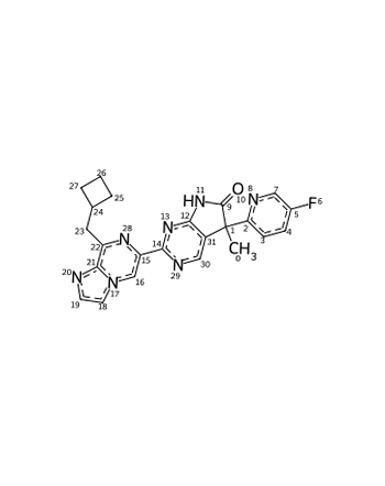 CC1(c2ccc(F)cn2)C(=O)Nc2nc(-c3cn4ccnc4c(CC4CCC4)n3)ncc21